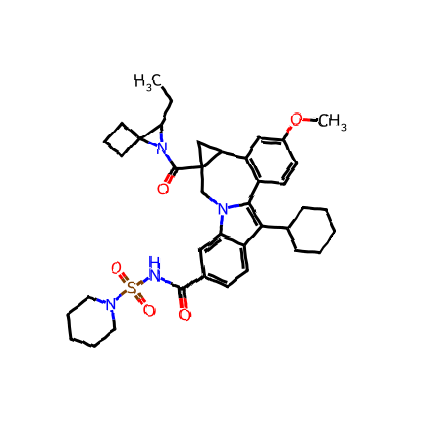 CCC1N(C(=O)C23CC2c2cc(OC)ccc2-c2c(C4CCCCC4)c4ccc(C(=O)NS(=O)(=O)N5CCCCC5)cc4n2C3)C12CCC2